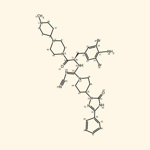 CN1CCC(N2CCN(C(=O)[C@@H](Cc3cc(Br)c(N)c(Br)c3)NC(=NC#N)N3CCC(n4nc(-c5ccccc5)[nH]c4=O)CC3)CC2)CC1